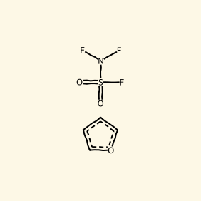 O=S(=O)(F)N(F)F.c1ccoc1